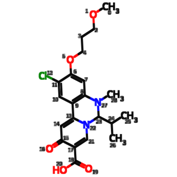 COCCCOc1cc2c(cc1Cl)-c1cc(=O)c(C(=O)O)cn1C(C(C)C)N2C